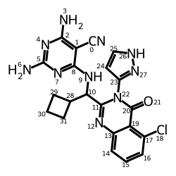 N#Cc1c(N)nc(N)nc1NC(c1nc2cccc(Cl)c2c(=O)n1-c1cc[nH]n1)C1CCC1